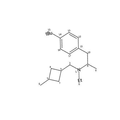 CCN(CC1CC(C)C1)C(C)Cc1ccc(C(C)(C)C)cc1